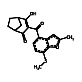 CSc1ccc(C(=O)C2=C(O)C3CCC(C3)C2=O)c2cc(C)oc12